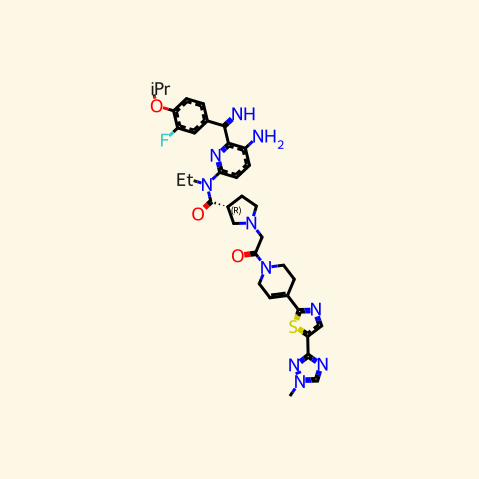 CCN(C(=O)[C@@H]1CCN(CC(=O)N2CC=C(c3ncc(-c4ncn(C)n4)s3)CC2)C1)c1ccc(N)c(C(=N)c2ccc(OC(C)C)c(F)c2)n1